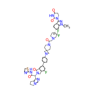 Cn1nc(N2CCC(=O)NC2=O)c2ccc([C@H]3CCN(CC(=O)N4CCC5(CC4)CN(c4ccc(-c6cc(F)c7c(c6)C(=O)N(C(C(=O)Nc6nccs6)c6ncn8c6CCC8)C7)cc4)C5)CC3(F)F)cc21